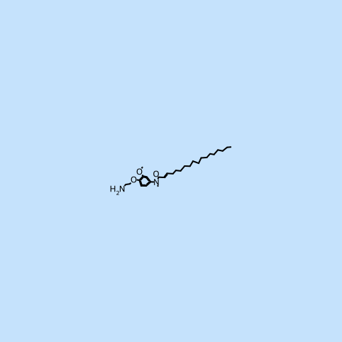 CCCCCCCCCCCCCCCC=CC(=O)N(C)c1ccc(OCCN)c(OC)c1